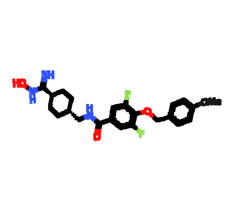 COc1ccc(COc2c(F)cc(C(=O)NC[C@H]3CC[C@H](C(=N)NO)CC3)cc2F)cc1